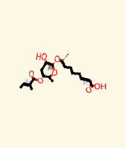 C/C=C(\C)C(=O)O[C@@H]1CC(O)[C@H](O[C@H](C)CCCC/C=C/C(=O)O)OC1C